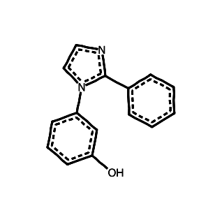 Oc1cccc(-n2ccnc2-c2ccccc2)c1